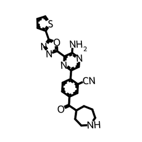 N#Cc1cc(C(=O)C2CCCNCC2)ccc1-c1cnc(N)c(-c2nnc(-c3cccs3)o2)n1